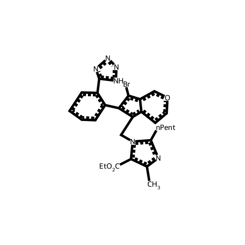 CCCCCc1nc(C)c(C(=O)OCC)n1Cc1c2ccocc-2c(Br)c1-c1ccccc1-c1nnn[nH]1